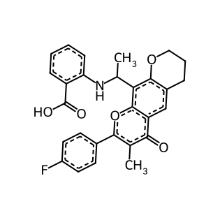 Cc1c(-c2ccc(F)cc2)oc2c(C(C)Nc3ccccc3C(=O)O)c3c(cc2c1=O)CCCO3